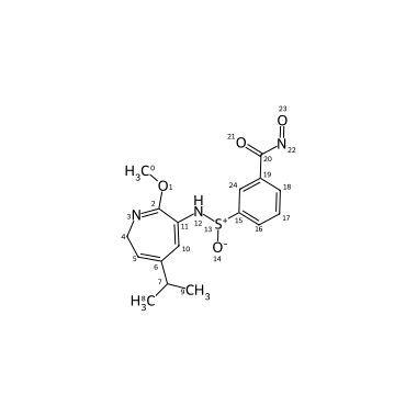 COC1=NCC=C(C(C)C)C=C1N[S+]([O-])c1cccc(C(=O)N=O)c1